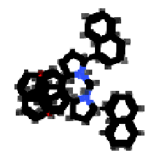 c1ccc2c([C@@H]3CC[C@@H](c4cccc5ccccc45)N3CN3[C@H](c4cccc5ccccc45)CC[C@H]3c3cccc4ccccc34)cccc2c1